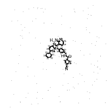 N#Cc1ccc(C(=O)NCc2ccc(-n3c(-c4cccnc4N)nc4ccc(-c5ccccc5)nc43)cc2)cn1